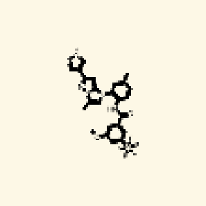 COc1cc(C(=O)Nc2ccc(C)cc2-n2cc(C)n3nc(-c4cn[nH]c4)cc23)cc(S(F)(F)(F)(F)F)c1